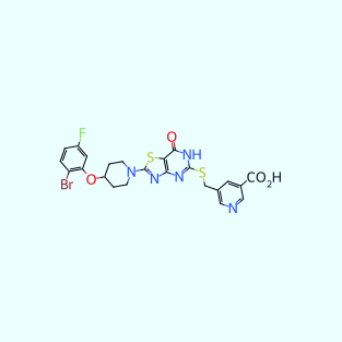 O=C(O)c1cncc(CSc2nc3nc(N4CCC(Oc5cc(F)ccc5Br)CC4)sc3c(=O)[nH]2)c1